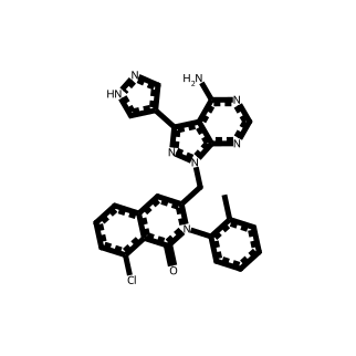 Cc1ccccc1-n1c(Cn2nc(-c3cn[nH]c3)c3c(N)ncnc32)cc2cccc(Cl)c2c1=O